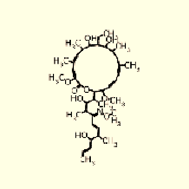 CC=CC(O)C(C)C=CC(=NOC)C(C)C(O)C(C)C1OC(=O)C(OC)=CC(C)=CC(C)C(O)C(CC)C(O)C(C)CC(C)=CC=CC1OC